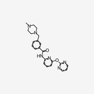 CN1CCN(Cc2cccc(C(=O)Nc3cccc(Oc4ncccn4)n3)c2)CC1